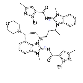 C=C[C@@H](CCC(C)n1/c(=N/C(=O)c2cc(C)nn2CC)n(C)c2ccccc21)n1/c(=N/C(=O)c2cc(C)nn2CC)n(C)c2cccc(CN3CCOCC3)c21